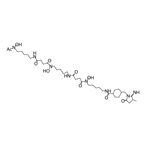 CC(=O)N(O)CCCCCNC(=O)CCC(=O)N(O)CCCCCNC(=O)CCC(=O)N(O)CCCCCNC(=O)C1CCC(CN2C(=N)C(C)CC2=O)CC1